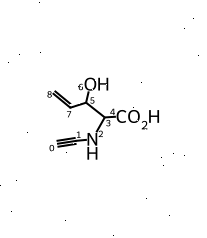 C#CNC(C(=O)O)C(O)C=C